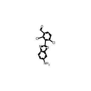 Nc1ccc2nc(-c3c(Cl)ccc([C]=O)c3Cl)sc2c1